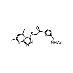 CC(=O)NCc1ccc(C(=O)CSc2nnc3nc(C)cc(C)n23)s1